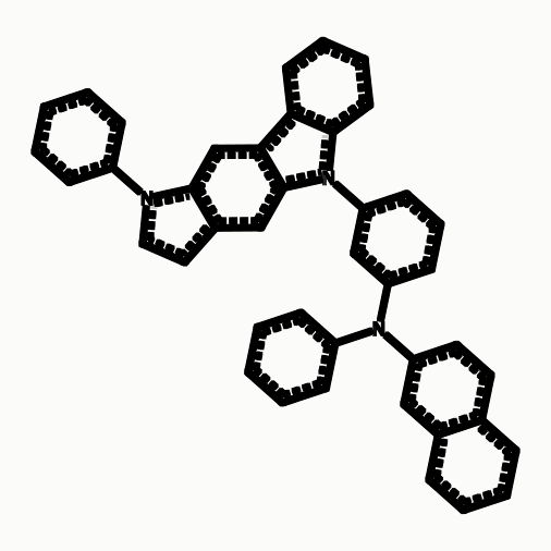 c1ccc(N(c2cccc(-n3c4ccccc4c4cc5c(ccn5-c5ccccc5)cc43)c2)c2ccc3ccccc3c2)cc1